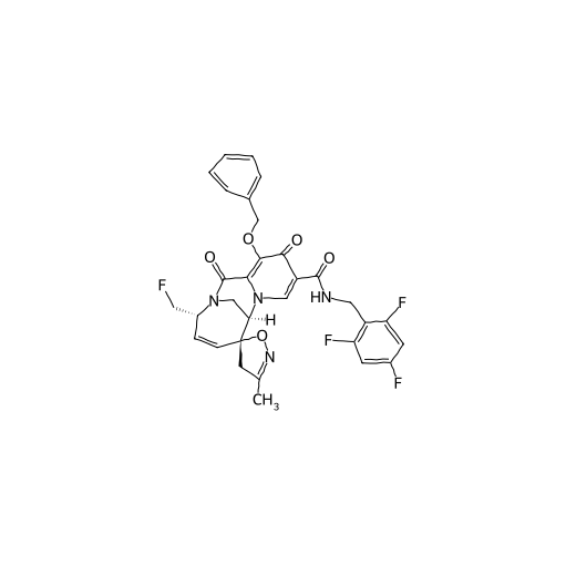 CC1=NO[C@@]2(C=C[C@H](CF)N3C[C@H]2n2cc(C(=O)NCc4c(F)cc(F)cc4F)c(=O)c(OCc4ccccc4)c2C3=O)C1